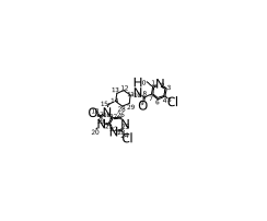 Cc1ncc(Cl)cc1C(=O)N[C@H]1CC[C@H](Cn2c(=O)n(C)c3nc(Cl)ncc32)CC1